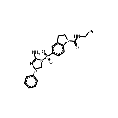 CC(C)CNC(=O)N1CCc2cc(S(=O)(=O)N3C[C@H](c4ccccc4)N=C3N)ccc21